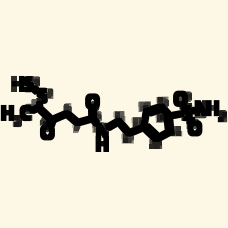 CC(SS)C(=O)CCC(=O)NCCc1ccc(S(N)(=O)=O)cc1